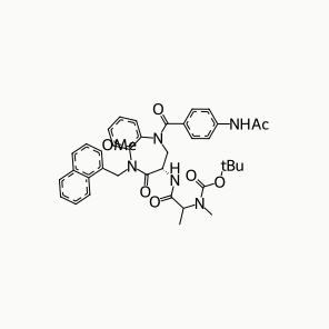 COc1ccc2ccccc2c1CN1C(=O)[C@@H](NC(=O)C(C)N(C)C(=O)OC(C)(C)C)CN(C(=O)c2ccc(NC(C)=O)cc2)c2ccccc21